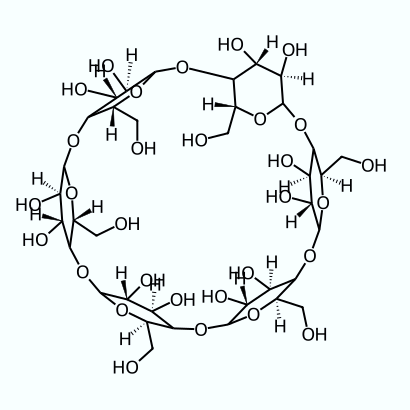 OC[C@H]1OC2OC3[C@@H](CO)OC(OC4[C@@H](CO)OC(OC5[C@@H](CO)OC(OC6[C@@H](CO)OC(OC7[C@@H](CO)OC(OC1[C@H](O)[C@H]2O)[C@H](O)[C@H]7O)[C@H](O)[C@H]6O)[C@H](O)[C@H]5O)[C@H](O)[C@H]4O)[C@H](O)[C@H]3O